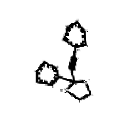 C(#CC1(c2ccccc2)SCCS1)c1ccccc1